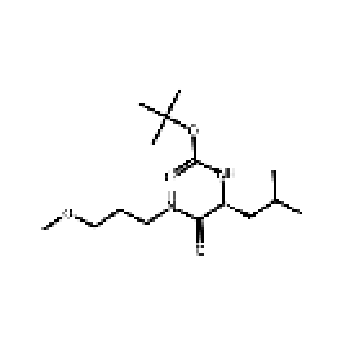 COCCCNC(=O)[C@H](CC(C)C)NC(=O)OC(C)(C)C